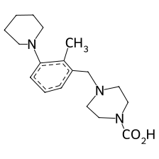 Cc1c(CN2CCN(C(=O)O)CC2)cccc1N1CCCCC1